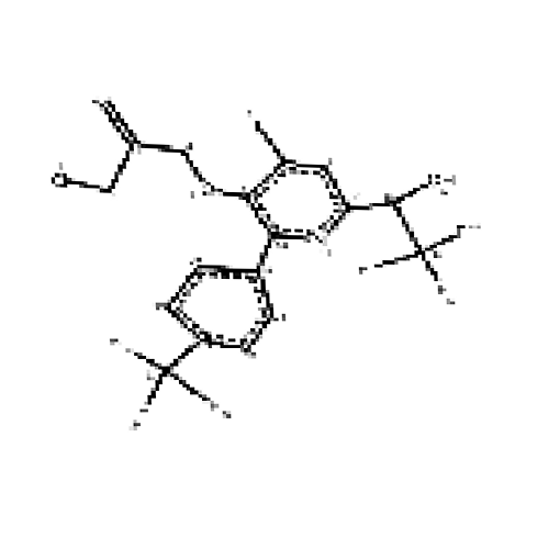 C=C(CCl)COc1c(I)cc(C(O)C(F)(F)F)nc1-c1ccc(C(F)(F)F)cc1